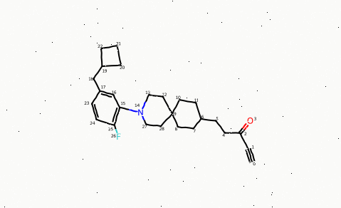 C#CC(=O)CCC1CCC2(CC1)CCN(c1cc(CC3CCC3)ccc1F)CC2